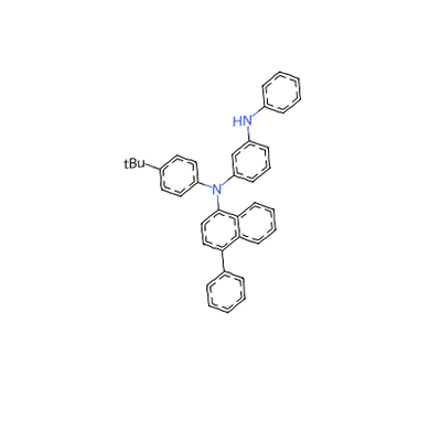 CC(C)(C)c1ccc(N(c2cccc(Nc3ccccc3)c2)c2ccc(-c3ccccc3)c3ccccc23)cc1